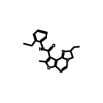 CCc1ccccc1NC(=O)c1c(C)oc2c1C1=NC(CC)CN1C=N2